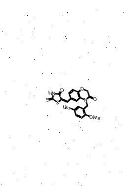 COc1ccc(C(C)(C)C)cc1CN1C(=O)COc2ccc(/C=C3/SC(=S)NC3=O)cc21